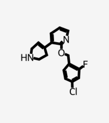 Fc1cc(Cl)ccc1COc1ncccc1C1=CCNCC1